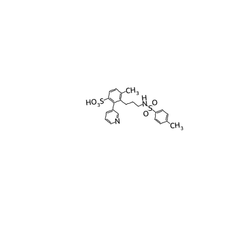 Cc1ccc(S(=O)(=O)NCCCc2c(C)ccc(S(=O)(=O)O)c2-c2cccnc2)cc1